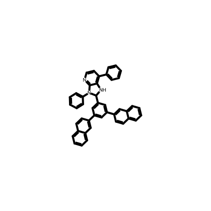 c1ccc(-c2ccnc3c2NC(c2cc(-c4ccc5ccccc5c4)cc(-c4ccc5ccccc5c4)c2)N3c2ccccc2)cc1